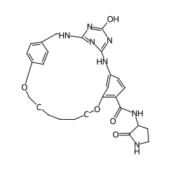 O=C(NC1CCNC1=O)c1ccc2cc1OCCCCCCOc1ccc(cc1)CNc1nc(O)nc(n1)N2